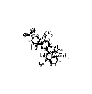 COc1cc2nc(C)nc(N[C@H](C)C3=CCCC(C)=C3)c2cc1[C@]1(O)CC[C@H](C(=O)O)CC1